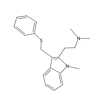 CN(C)CCc1c(CSc2ccccc2)c2ccccc2n1C